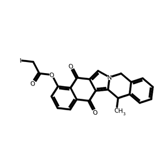 CC1c2ccccc2Cn2cc3c(c21)C(=O)c1cccc(OC(=O)CI)c1C3=O